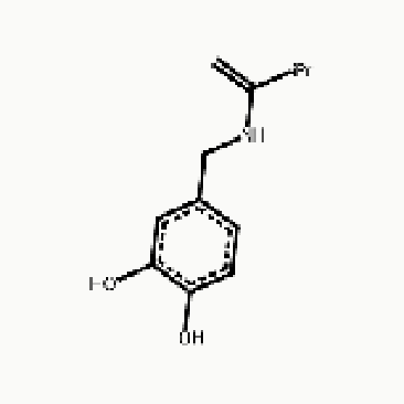 C=C(NCc1ccc(O)c(O)c1)C(C)C